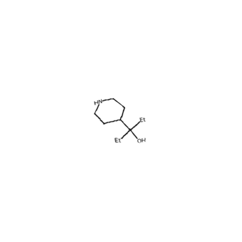 CCC(O)(CC)C1CCNCC1